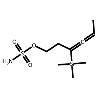 CC=C=C(CCOS(N)(=O)=O)[Si](C)(C)C